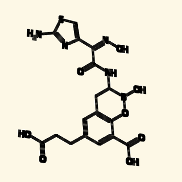 Nc1nc(C(=NO)C(=O)NC2Cc3cc(CCC(=O)O)cc(C(=O)O)c3OB2O)cs1